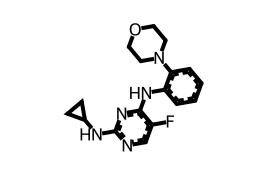 Fc1cnc(NC2CC2)nc1Nc1ccccc1N1CCOCC1